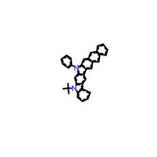 CC(C)(C)n1c2ccccc2c2cc3c4cc5cc6ccccc6cc5cc4n(-c4ccccc4)c3cc21